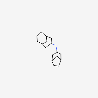 C1CC2CC(C1)CC(NC1CC3CCC(C3)C1)C2